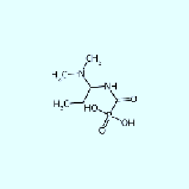 CCC(NC(=O)P(=O)(O)O)N(C)C